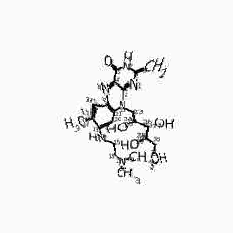 C=c1nc2c(c(=O)[nH]1)=Nc1cc(C)c(NCCN(C)C)cc1N2C[C@H](O)[C@H](O)[C@H](O)CO